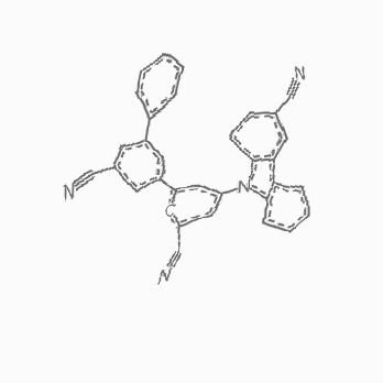 N#Cc1cc(-c2ccccc2)cc(-c2cc(C#N)cc(-n3c4ccccc4c4cc(C#N)ccc43)c2)c1